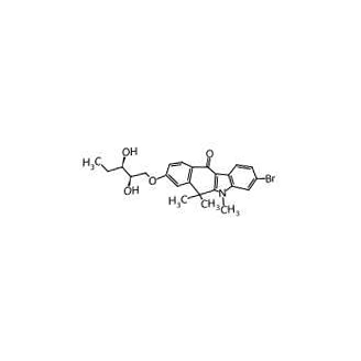 CC[C@@H](O)[C@H](O)COc1ccc2c(c1)C(C)(C)c1c(c3ccc(Br)cc3n1C)C2=O